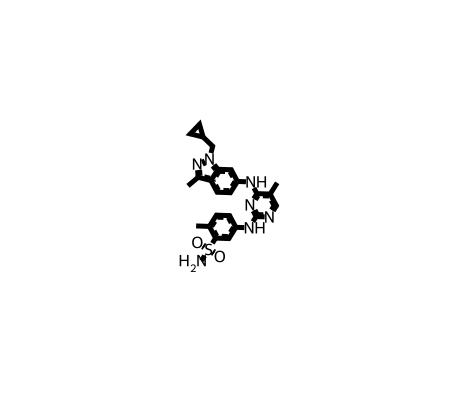 Cc1ccc(Nc2ncc(C)c(Nc3ccc4c(C)nn(CC5CC5)c4c3)n2)cc1S(N)(=O)=O